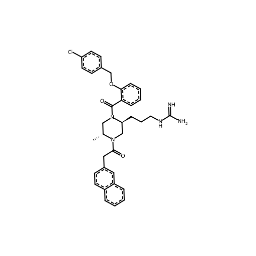 C[C@@H]1CN(C(=O)c2ccccc2OCc2ccc(Cl)cc2)[C@@H](CCCNC(=N)N)CN1C(=O)Cc1ccc2ccccc2c1